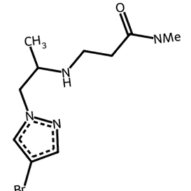 CNC(=O)CCNC(C)Cn1cc(Br)cn1